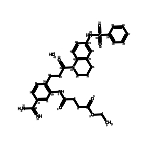 CCOC(=O)CCC(=O)Nc1cc(C(=N)N)ccc1CCC(=O)N1CCCc2cc(NS(=O)(=O)c3ccccc3)ccc21.Cl